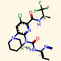 C=N/C(=C\C)NC(=O)N1c2nc(C(=O)N[C@H](C)C(F)(F)F)c(Cl)cc2N2CCC[C@H]1C2